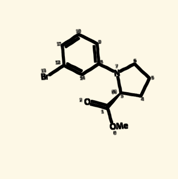 COC(=O)[C@@H]1CCCN1c1cccc(Br)c1